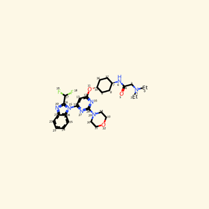 CCN(CC)CC(=O)N[C@H]1CC[C@H](Oc2cc(-n3c(C(F)F)nc4ccccc43)nc(N3CCOCC3)n2)CC1